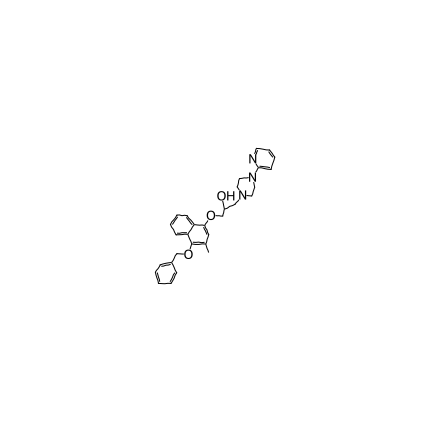 Cc1cc(OCC(O)CN2CCN(c3ccccn3)CC2)c2ccccc2c1OCc1ccccc1